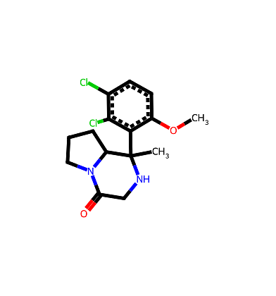 COc1ccc(Cl)c(Cl)c1C1(C)NCC(=O)N2CCCC21